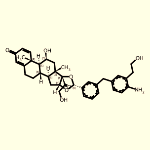 C[C@]12C=CC(=O)C=C1CC[C@@H]1[C@@H]2[C@@H](O)C[C@@]2(C)[C@H]1C[C@H]1O[C@@H](c3cccc(Cc4ccc(N)c(CCO)c4)c3)O[C@]12C(=O)CO